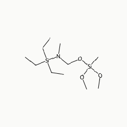 CC[Si](CC)(CC)N(C)CO[Si](C)(OC)OC